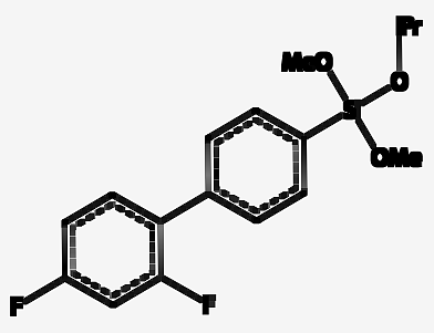 CO[Si](OC)(OC(C)C)c1ccc(-c2ccc(F)cc2F)cc1